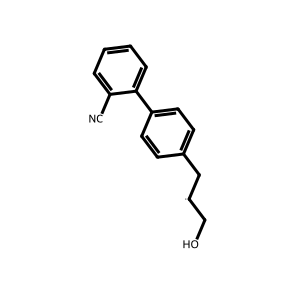 N#Cc1ccccc1-c1ccc(C[CH]CO)cc1